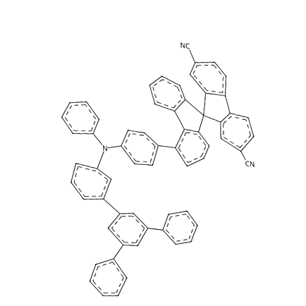 N#Cc1ccc2c(c1)C1(c3cc(C#N)ccc3-2)c2ccccc2-c2c(-c3ccc(N(c4ccccc4)c4cccc(-c5cc(-c6ccccc6)cc(-c6ccccc6)c5)c4)cc3)cccc21